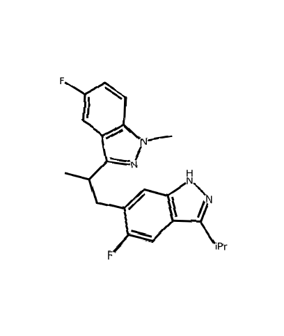 CC(C)c1n[nH]c2cc(CC(C)c3nn(C)c4ccc(F)cc34)c(F)cc12